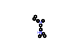 C1=C(c2ccc(Nc3ccc4ccccc4c3-c3ccccc3)cc2)CCC(N(c2ccccc2)c2ccc(-c3cccc4ccccc34)cc2)=C1